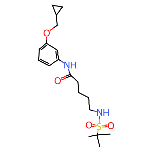 CC(C)(C)S(=O)(=O)NCCCCC(=O)Nc1cccc(OCC2CC2)c1